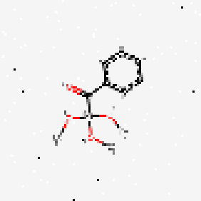 CCO[Si](OCC)(OCC)C(=O)c1ccccc1